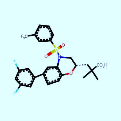 CC(C)(C[C@H]1CN(S(=O)(=O)c2cccc(C(F)(F)F)c2)c2cc(-c3cc(F)cc(F)c3)ccc2O1)C(=O)O